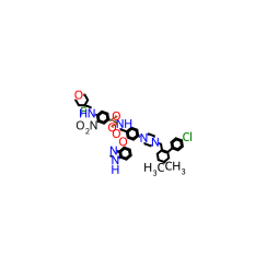 CC1(C)CCC(CN2CCN(c3ccc(C(=O)NS(=O)(=O)c4ccc(NCC5(F)CCOCC5)c([N+](=O)[O-])c4)c(Oc4cccc5[nH]cnc45)c3)CC2)=C(c2ccc(Cl)cc2)C1